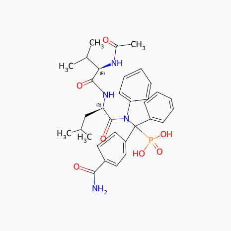 CC(=O)N[C@@H](C(=O)N[C@H](CC(C)C)C(=O)N(c1ccccc1)C(c1ccccc1)(c1ccc(C(N)=O)cc1)P(=O)(O)O)C(C)C